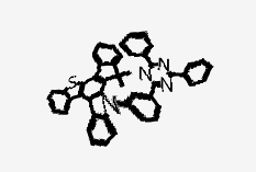 CC1(C)c2ccccc2-c2c1c1c(c3ccccc3n1-c1cccc(-c3nc(-c4ccccc4)nc(-c4ccccc4)n3)c1)c1c2sc2ccccc21